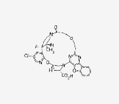 C[C@H]1CN2CC[C@]1(F)c1cc(Cl)cnc1O[C@H]1C[C@@H](C(=O)O)N(C1)c1nc(nc3c1oc1ccccc13)CCOCCC2=O